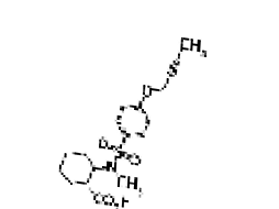 CC#CCOc1ccc(S(=O)(=O)N(C)[C@@H]2CCCC[C@H]2C(=O)O)cc1